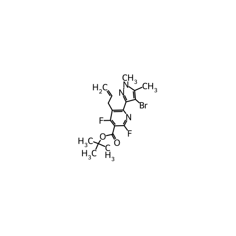 C=CCc1c(-c2nn(C)c(C)c2Br)nc(F)c(C(=O)OC(C)(C)C)c1F